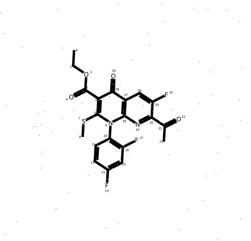 CCOC(=O)c1c(SC)n(-c2ccc(F)cc2F)c2nc(C(C)=O)c(F)cc2c1=O